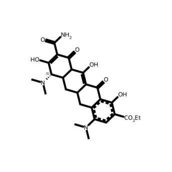 CCOC(=O)c1cc(N(C)C)c2c(c1O)C(=O)C1=C(O)C3C(=O)C(C(N)=O)=C(O)[C@@H](N(C)C)C3CC1C2